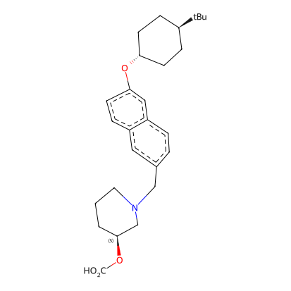 CC(C)(C)[C@H]1CC[C@H](Oc2ccc3cc(CN4CCC[C@H](OC(=O)O)C4)ccc3c2)CC1